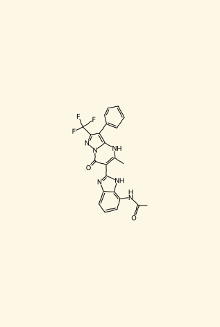 CC(=O)Nc1cccc2nc(-c3c(C)[nH]c4c(-c5ccccc5)c(C(F)(F)F)nn4c3=O)[nH]c12